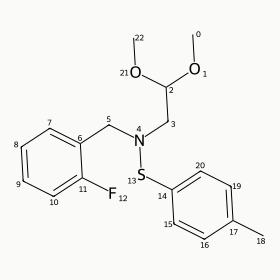 COC(CN(Cc1ccccc1F)Sc1ccc(C)cc1)OC